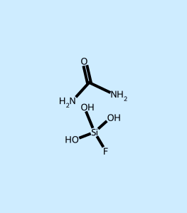 NC(N)=O.O[Si](O)(O)F